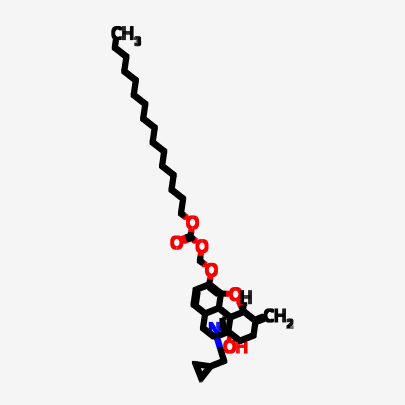 C=C1CC[C@@]2(O)C3CC4C=CC(OCOC(=O)OCCCCCCCCCCCCCCCC)=C5O[C@@H]1[C@]2(CCN3CC1CC1)C54